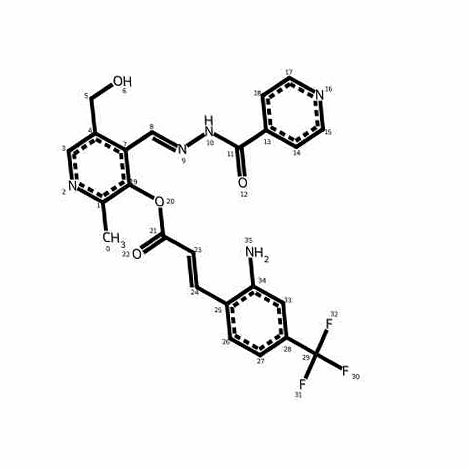 Cc1ncc(CO)c(C=NNC(=O)c2ccncc2)c1OC(=O)C=Cc1ccc(C(F)(F)F)cc1N